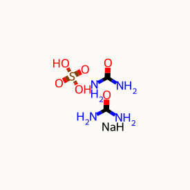 NC(N)=O.NC(N)=O.O=S(=O)(O)O.[NaH]